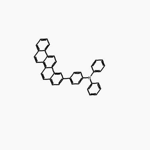 c1ccc(N(c2ccccc2)c2ccc(-c3ccc4ccc5c(ccc6c7ccccc7ccc65)c4c3)cc2)cc1